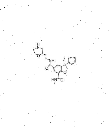 CC[C@]1(c2ccccc2)COc2c(C(=O)NC)cc(C(=O)NCC[C@@H]3CNCCO3)cc21